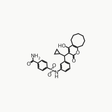 NC(=O)c1ccc(S(=O)(=O)Nc2cccc(C(c3c(O)c4c(oc3=O)CCCCCC4)C3CC3)c2)cc1